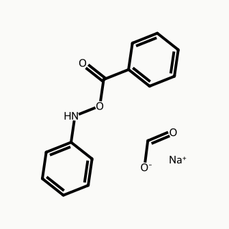 O=C(ONc1ccccc1)c1ccccc1.O=C[O-].[Na+]